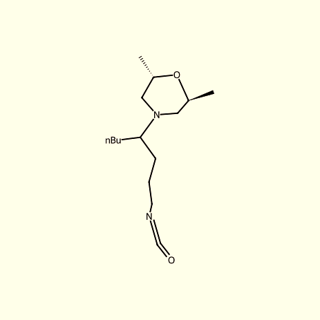 CCCCC(CCCN=C=O)N1C[C@H](C)O[C@@H](C)C1